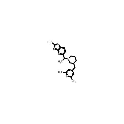 Cc1cc(CC2CCCN(C(C)c3ccc4oc(C)nc4n3)C2)cc(C)n1